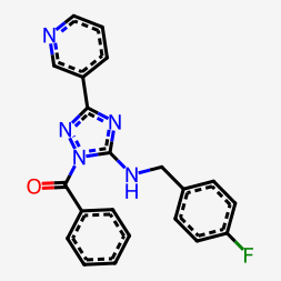 O=C(c1ccccc1)n1nc(-c2cccnc2)nc1NCc1ccc(F)cc1